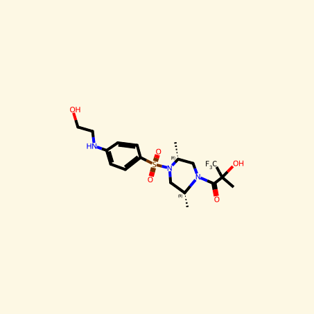 C[C@@H]1CN(S(=O)(=O)c2ccc(NCCO)cc2)[C@H](C)CN1C(=O)C(C)(O)C(F)(F)F